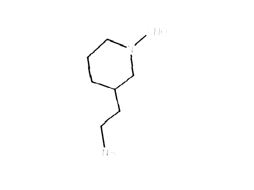 NCCC1CCCN([C]=O)C1